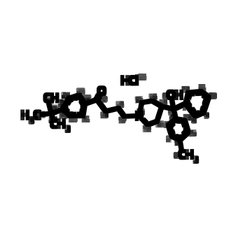 Cc1ccc(C(O)(c2ccccc2)C2CCN(CCCC(=O)c3ccc(C(C)(C)C)cc3)CC2)cc1.Cl